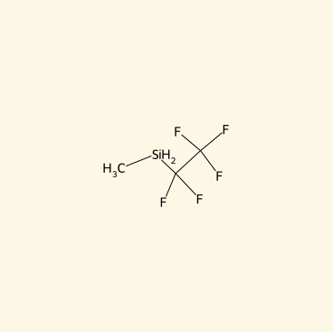 C[SiH2]C(F)(F)C(F)(F)F